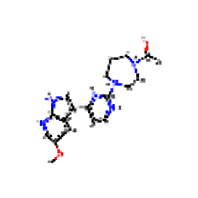 COc1cnc2[nH]cc(-c3ccnc(N4CCCN(C(C)=O)CC4)n3)c2c1